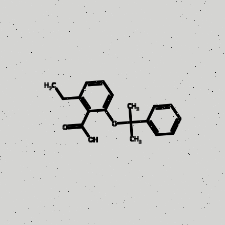 CCc1cccc(OC(C)(C)c2ccccc2)c1C(=O)O